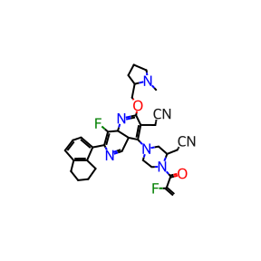 C=C(F)C(=O)N1CCN(C2=C(CC#N)C(OCC3CCCN3C)=NC3C(F)=C(c4cccc5c4CCCC5)N=CC23)CC1CC#N